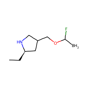 BC(F)OCC1CN[C@H](CC)C1